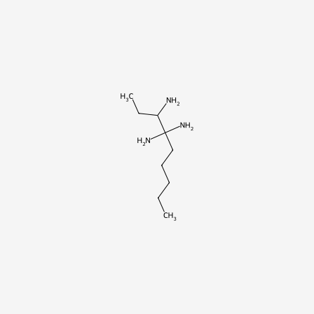 CCCCCC(N)(N)C(N)CC